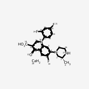 C[C@@H]1CN(c2cc3c(cc2F)c(=O)c(C(=O)O)cn3-c2ccc(F)cc2F)CCN1.[CaH2]